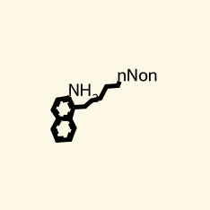 CCCCCCCCCCCCCCc1c(N)ccc2ccccc12